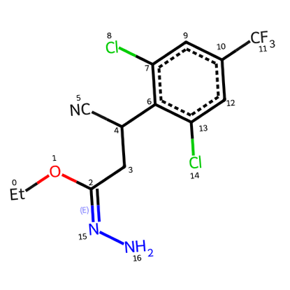 CCO/C(CC(C#N)c1c(Cl)cc(C(F)(F)F)cc1Cl)=N/N